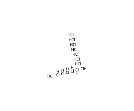 Cl.Cl.Cl.Cl.Cl.Cl.Cl.Cl.Cl.Cl.Cl.Cl.Cl.Cl